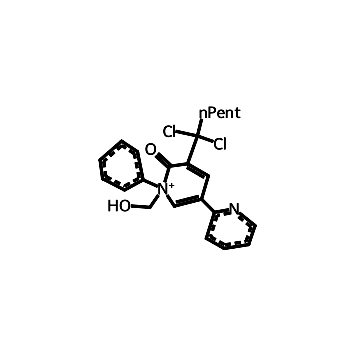 CCCCCC(Cl)(Cl)C1=CC(c2ccccn2)=C[N+](CO)(c2ccccc2)C1=O